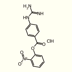 Cl.N=C(N)Nc1ccc(C(=O)Oc2ccccc2[N+](=O)[O-])cc1